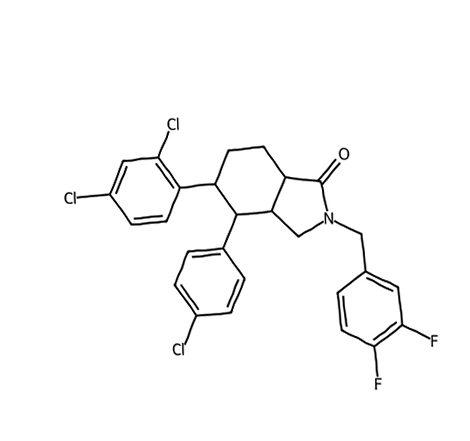 O=C1C2CCC(c3ccc(Cl)cc3Cl)C(c3ccc(Cl)cc3)C2CN1Cc1ccc(F)c(F)c1